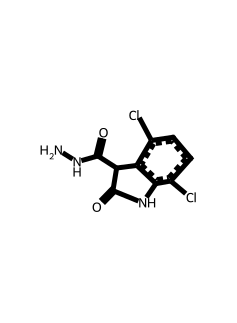 NNC(=O)C1C(=O)Nc2c(Cl)ccc(Cl)c21